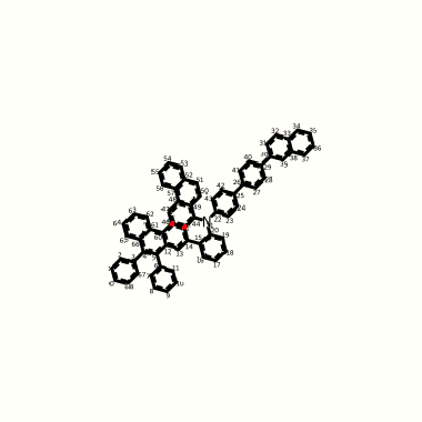 c1ccc(-c2c(-c3ccccc3)c3cc(-c4ccccc4N(c4ccc(-c5ccc(-c6ccc7ccccc7c6)cc5)cc4)c4cccc5c4ccc4ccccc45)ccc3c3ccccc23)cc1